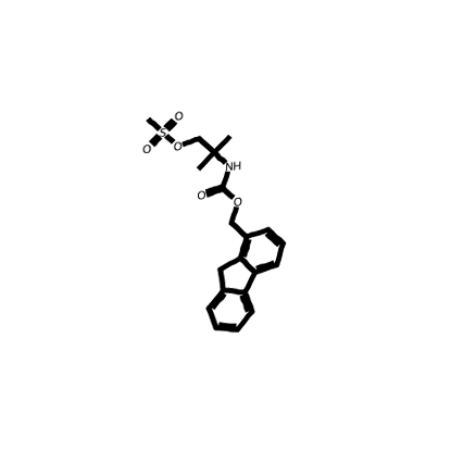 CC(C)(COS(C)(=O)=O)NC(=O)OCc1cccc2c1Cc1ccccc1-2